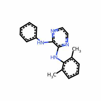 Cc1cccc(C)c1Nc1nccnc1Nc1ccccc1